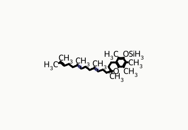 CC(C)=CCC/C(C)=C/CC/C(C)=C/CC[C@]1(C)CCc2c(C)c(O[SiH3])c(C)c(C)c2O1